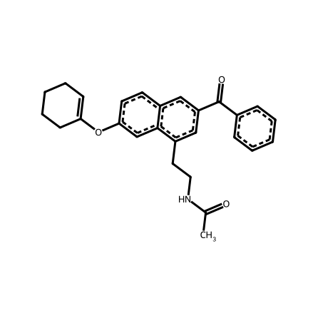 CC(=O)NCCc1cc(C(=O)c2ccccc2)cc2ccc(OC3=CCCCC3)cc12